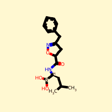 CC(C)C[C@H](NC(=O)C1CC(Cc2ccccc2)=NO1)B(O)O